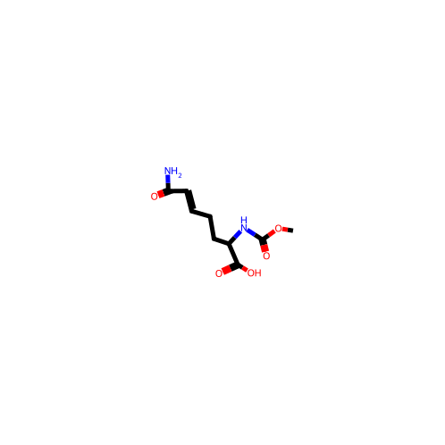 COC(=O)NC(CC/C=C/C(N)=O)C(=O)O